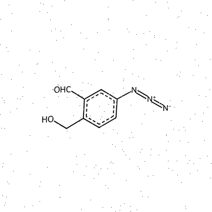 [N-]=[N+]=Nc1ccc(CO)c([C]=O)c1